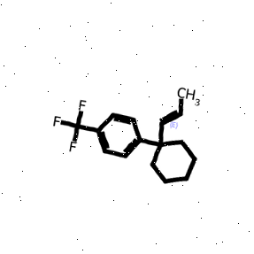 C/C=C/C1(c2ccc(C(F)(F)F)cc2)CCCCC1